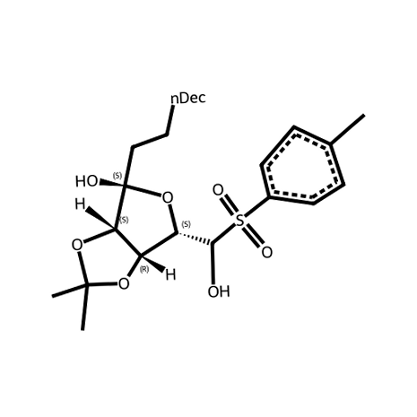 CCCCCCCCCCCC[C@]1(O)O[C@H](C(O)S(=O)(=O)c2ccc(C)cc2)[C@@H]2OC(C)(C)O[C@@H]21